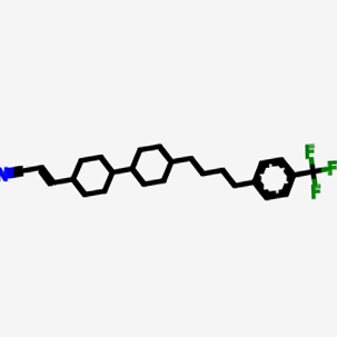 N#CC=CC1CCC(C2CCC(CCCCc3ccc(C(F)(F)F)cc3)CC2)CC1